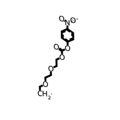 [CH2]COCCOCCOC(=O)Oc1ccc([N+](=O)[O-])cc1